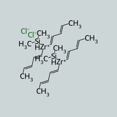 C/C=C/C=[CH]/[Zr+](/[CH]=C/C=C/C)[SiH](C)C.C/C=C/C=[CH]/[Zr+](/[CH]=C/C=C/C)[SiH](C)C.[Cl-].[Cl-]